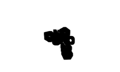 Cn1c(C(=O)N[C@H]2CCCC[C@H]2C(=O)N[C@H]2CCCCC2=O)cc2ccccc21